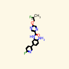 C[C@H](F)COc1cnc(C(=O)Nc2cc(-c3ccc(F)nc3)ccc2N)cn1